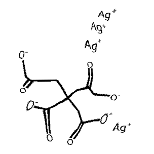 O=C([O-])CC(C(=O)[O-])(C(=O)[O-])C(=O)[O-].[Ag+].[Ag+].[Ag+].[Ag+]